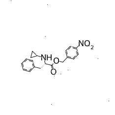 O=C(OCc1ccc([N+](=O)[O-])cc1)[C@H](Cc1ccccc1)NC1CC1